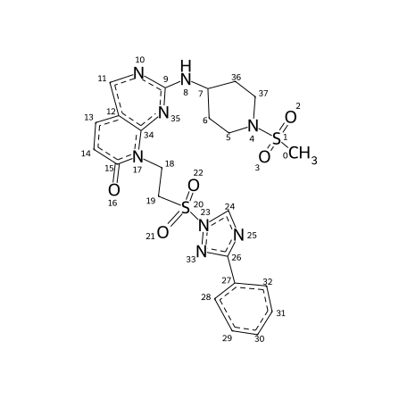 CS(=O)(=O)N1CCC(Nc2ncc3ccc(=O)n(CCS(=O)(=O)n4cnc(-c5ccccc5)n4)c3n2)CC1